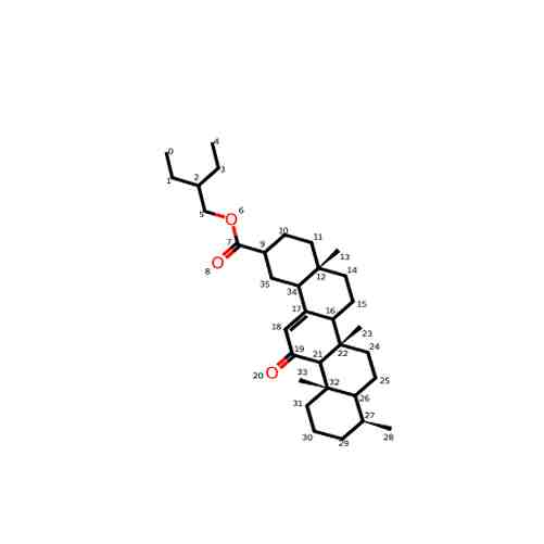 CCC(CC)COC(=O)C1CC[C@]2(C)CCC3C(=CC(=O)C4[C@@]3(C)CCC3[C@@H](C)CCC[C@@]34C)C2C1